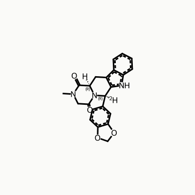 [2H][C@@]1(c2ccc3c(c2)OCO3)c2[nH]c3ccccc3c2C[C@@H]2C(=O)N(C)CC(=O)N21